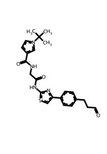 CC(C)(C)n1ccc(C(=O)NCC(=O)Nc2nc(-c3ccc(CCC=O)cc3)cs2)c1